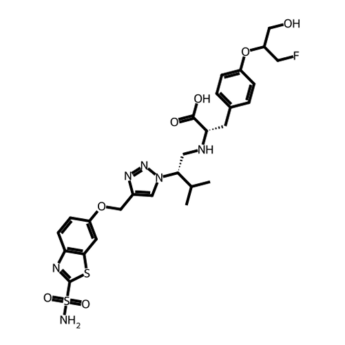 CC(C)[C@@H](CN[C@@H](Cc1ccc(OC(CO)CF)cc1)C(=O)O)n1cc(COc2ccc3nc(S(N)(=O)=O)sc3c2)nn1